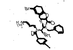 Cc1ccc(C(=O)N(CCCN)C(c2nc3c(oc4ccc(Br)cc43)c(=O)n2Cc2ccccc2)C(C)C)cc1